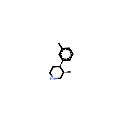 Cc1cccc([C@@H]2CCNC[C@@H]2C)c1